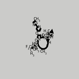 Cc1cnc(-c2cc(O[C@@H]3C[C@H]4C(=O)N[C@]5(C(=O)NS(=O)(=O)C6(C)CC6)C[C@H]5/C=C\CC[C@@H](C)C[C@@H](C)[C@H](NC(=O)OC(C)(C)C(F)(F)F)C(=O)N4C3)ccn2)s1